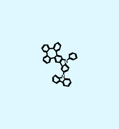 c1ccc(-n2c3ccc(-n4c5ccccc5c5ccccc54)cc3c3cc4c(cc32)-c2ccccc2-c2ccccc2-c2ccccc2-4)cc1